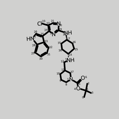 CC(C)(C)OC(=O)N1CCCC(CN[C@H]2CC[C@H](Nc3ncc(Cl)c(-c4c[nH]c5ccccc45)n3)CC2)C1